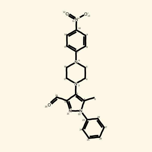 Cc1c(N2CCN(c3ccc([N+](=O)[O-])cc3)CC2)c(C=O)nn1-c1ccccc1